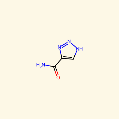 NC(=O)c1c[nH]nn1